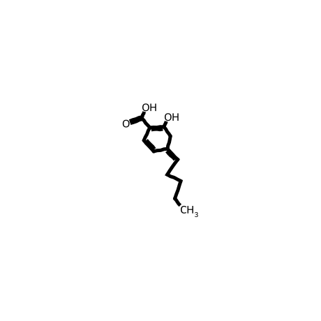 CCCCC=C1C=CC(C(=O)O)=C(O)C1